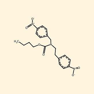 CCCCOC(=O)N(CCc1ccc([N+](=O)[O-])cc1)Cc1ccc([N+](=O)[O-])cc1